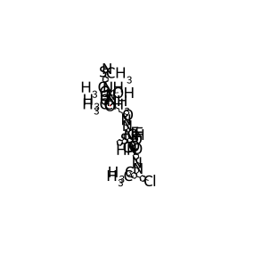 Cc1ncsc1-c1ccc([C@H](C)NC(=O)[C@@H]2C[C@@H](O)CN2C(=O)[C@@H](NC(=O)CCCCCCC(=O)N2CCN(CC[C@H](CSc3ccccc3)Nc3ccc(S(=O)(=O)NC(=O)c4ccc(N5CCN(CC6=C(c7ccc(Cl)cc7)CCC(C)(C)C6)CC5)cc4)cc3S(=O)(=O)C(F)(F)F)CC2)C(C)(C)C)cc1